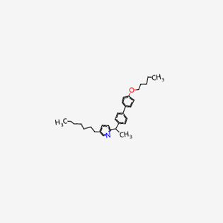 CCCCCCCc1ccc(C(C)c2ccc(-c3ccc(OCCCCC)cc3)cc2)nc1